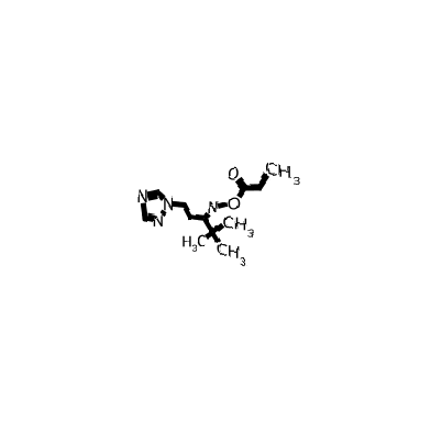 CCC(=O)ON=C(CCn1cncn1)C(C)(C)C